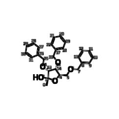 C[C@]1(O)O[C@H](COCc2ccccc2)[C@@H](OCc2ccccc2)[C@H]1OCc1ccccc1